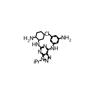 CC(C)n1nnc2c(Nc3cc(N)cc(Cl)c3)nc(NC3CCCCC3N)nc21